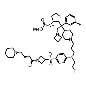 COC(=O)N[C@H]1CCC[C@@H]1[C@](CN1CCC1)(c1cccc(F)c1)C1CCN(CCCN(CCF)c2ccc(S(=O)(=O)C3CN(C(=O)/C=C/CN4CCCCC4)C3)cc2)CC1